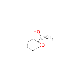 C[C@H](O)C12CCCCC1O2